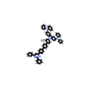 N#Cc1cc(-n2c3ccc(N(c4ccccc4)c4ccccc4)cc3c3cc(N(c4ccccc4)c4ccccc4)ccc32)ccc1-c1ccc(-c2ccc(-c3cc(-c4ccccc4)nc(-c4ccccc4)n3)cc2)cc1